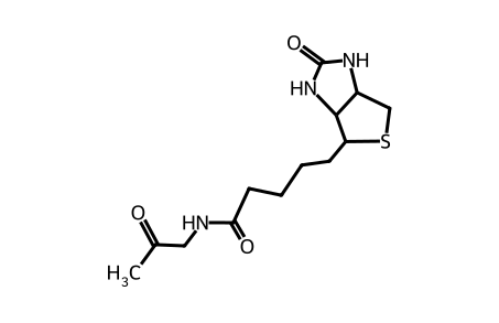 CC(=O)CNC(=O)CCCCC1SCC2NC(=O)NC21